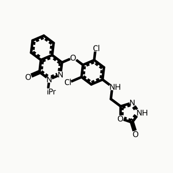 CC(C)n1nc(Oc2c(Cl)cc(NCc3n[nH]c(=O)o3)cc2Cl)c2ccccc2c1=O